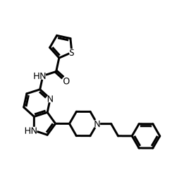 O=C(Nc1ccc2[nH]cc(C3CCN(CCc4ccccc4)CC3)c2n1)c1cccs1